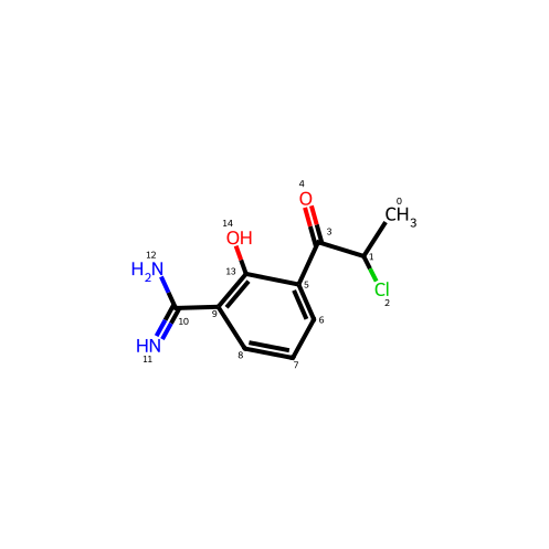 CC(Cl)C(=O)c1cccc(C(=N)N)c1O